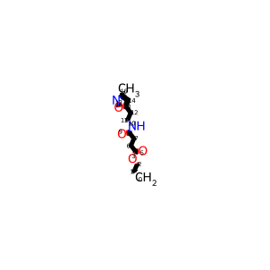 C=CCOC(=O)CCC(=O)NCCc1cc(C)no1